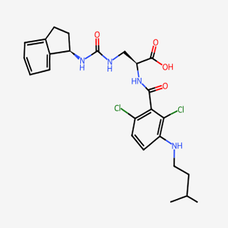 CC(C)CCNc1ccc(Cl)c(C(=O)N[C@@H](CNC(=O)N[C@@H]2CCc3ccccc32)C(=O)O)c1Cl